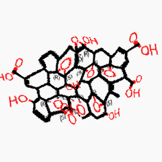 CC1=C2C(C(=O)O)C3=CC(C(=O)O)=CC4CC5[C@@]67O[C@]68C6C(C2[C@]72O[C@]342)[C@]23O[C@]12C(O)=CC1C[C@]24O[C@@]2(O)C2C=CC(O)=C7C9C=C(C(=O)O)C%10=CCC%11C[C@]%12(O[C@]5%12O)C8[C@@]58O[C@@]%115C%10C9C5[C@@]8(O)C6[C@@]6(O[C@]64[C@]54O[C@@]724)C13